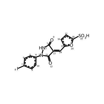 O=C1NN(c2ccc(I)cc2)C(=O)/C1=C/c1ccc(S(=O)(=O)O)o1